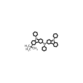 CC(C)(C)c1ccc2c(c1)c1cc(N(c3ccccc3)c3ccc4c(c3)c3ccccc3n4-c3ccccc3)ccc1n2-c1ccccc1